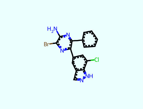 Nc1nc(-c2ccccc2)c(-c2cc(Cl)c3[nH]ncc3c2)nc1Br